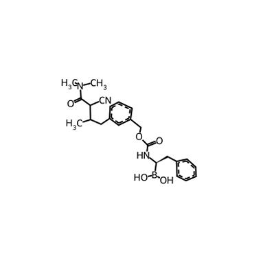 CC(Cc1cccc(COC(=O)N[C@@H](Cc2ccccc2)B(O)O)c1)C(C#N)C(=O)N(C)C